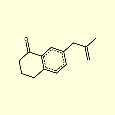 C=C(C)Cc1ccc2c(c1)C(=O)CCC2